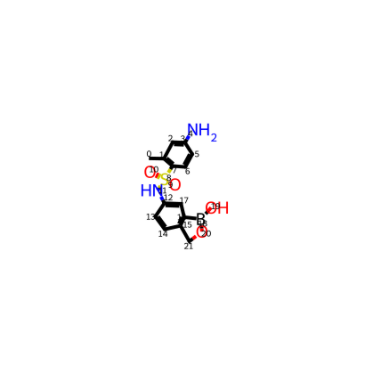 Cc1cc(N)ccc1S(=O)(=O)Nc1ccc2c(c1)B(O)OC2